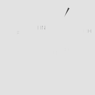 C[C@H](NC(=O)C(F)c1ccccc1)C(=O)O